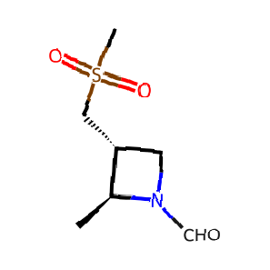 C[C@H]1[C@H](CS(C)(=O)=O)CN1C=O